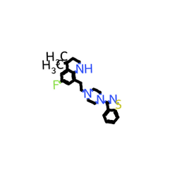 CC1(C)CCNc2c(CCN3CCN(c4nsc5ccccc45)CC3)cc(F)cc21